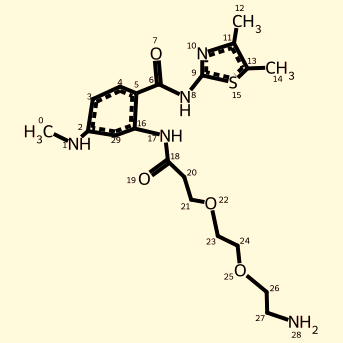 CNc1ccc(C(=O)Nc2nc(C)c(C)s2)c(NC(=O)CCOCCOCCN)c1